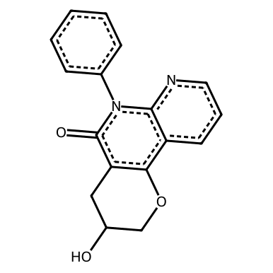 O=c1c2c(c3cccnc3n1-c1ccccc1)OCC(O)C2